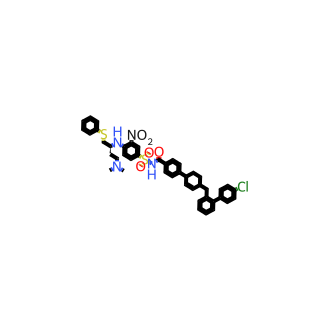 CN(C)CC[C@H](CSc1ccccc1)Nc1ccc(S(=O)(=O)NC(=O)c2ccc(C3C=CC(Cc4ccccc4-c4ccc(Cl)cc4)CC3)cc2)cc1[N+](=O)[O-]